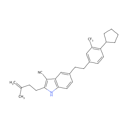 C=C(C)CCc1[nH]c2ccc(CCc3ccc(C4CCCC4)c(C(F)(F)F)c3)cc2c1C#N